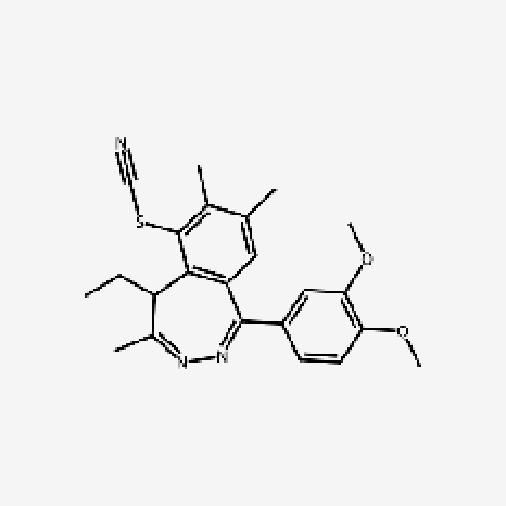 CCC1C(C)=NN=C(c2ccc(OC)c(OC)c2)c2cc(C)c(C)c(SC#N)c21